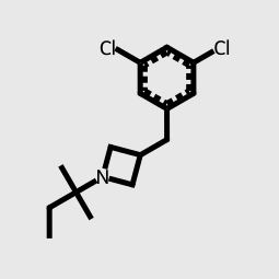 CCC(C)(C)N1CC(Cc2cc(Cl)cc(Cl)c2)C1